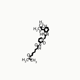 CN(C)C(=O)/C=C/CCCC(=O)Nc1cccn(Cc2nc3cccc(C(F)C(C)(C)C)c3[nH]2)c1=O